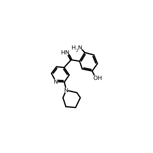 N=C(c1ccnc(N2CCCCC2)c1)c1cc(O)ccc1N